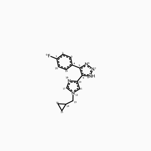 Fc1ccc(-c2nn[nH]c2-c2cn(CC3CC3)cn2)cc1